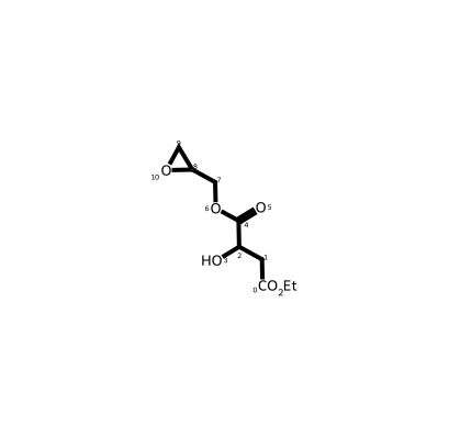 CCOC(=O)CC(O)C(=O)OCC1CO1